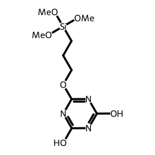 CO[Si](CCCOc1nc(O)nc(O)n1)(OC)OC